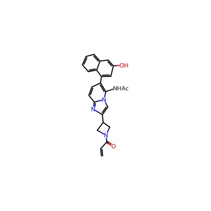 C=CC(=O)N1CC(c2cn3c(NC(C)=O)c(-c4cc(O)cc5ccccc45)ccc3n2)C1